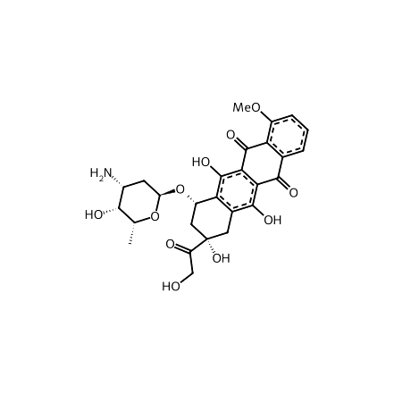 COc1cccc2c1C(=O)c1c(O)c3c(c(O)c1C2=O)C[C@@](O)(C(=O)CO)C[C@@H]3O[C@@H]1C[C@@H](N)[C@@H](O)[C@@H](C)O1